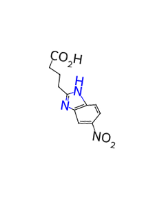 O=C(O)CCCc1nc2cc([N+](=O)[O-])ccc2[nH]1